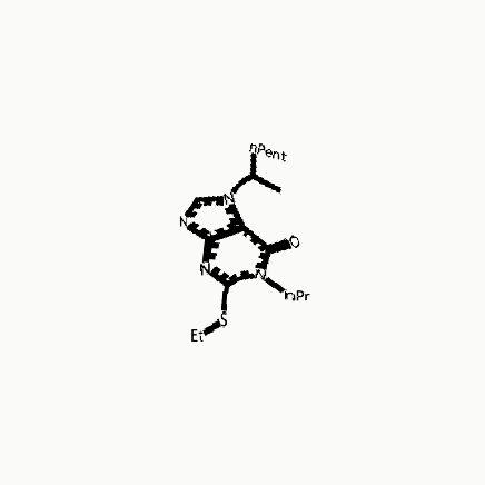 CCCCCC(C)n1cnc2nc(SCC)n(CCC)c(=O)c21